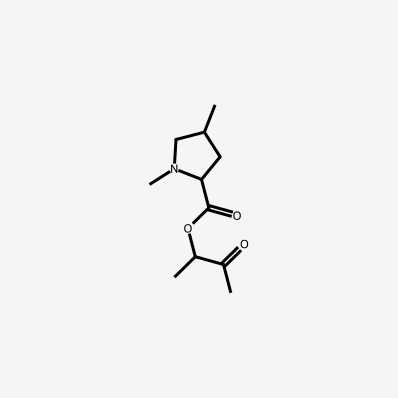 CC(=O)C(C)OC(=O)C1CC(C)CN1C